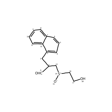 O=CC(Cc1cccc2ccccc12)C[S+]([O-])CCO